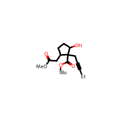 CCC#CCC1(C(=O)OC(C)(C)C)C(O)CCC1CC(=O)OC